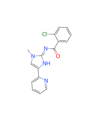 Cn1cc(-c2ccccn2)[nH]/c1=N\C(=O)c1ccccc1Cl